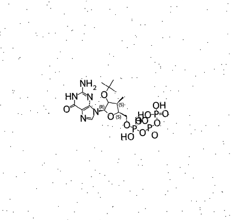 C[C@@H]1C(OC(C)(C)C)[C@H](n2cnc3c(=O)[nH]c(N)nc32)O[C@@H]1COP(=O)(O)OP(=O)(O)OP(=O)(O)O